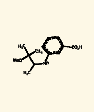 COC(C)(C)C(C)Nc1cccc(C(=O)O)c1